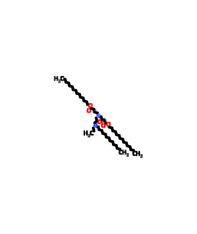 CCCCCCCCCCCCCCCOC(=O)/C=C/CN(C/C=C/C(=O)OCCCCCCCCCCCCCCC)CC(O)CN(CCC)CCCCCCCCCCCCCC